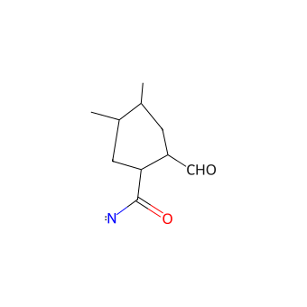 CC1CC(C=O)C(C([N])=O)CC1C